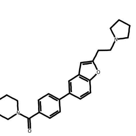 O=C(c1ccc(-c2ccc3oc(CCN4CCCC4)cc3c2)cc1)N1CCOCC1